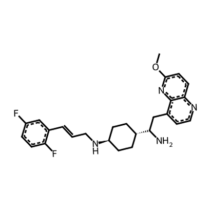 COc1ccc2nccc(CC(N)[C@H]3CC[C@H](NCC=Cc4cc(F)ccc4F)CC3)c2n1